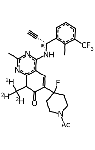 [2H]C([2H])([2H])C1C(=O)C(C2(F)CCN(C(C)=O)CC2)=Cc2c(N[C@H](C#C)c3cccc(C(F)(F)F)c3C)nc(C)nc21